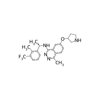 Cc1c([C@@H](C)Nc2nnc(C)c3ccc(OC4CCNC4)cc23)cccc1C(F)(F)F